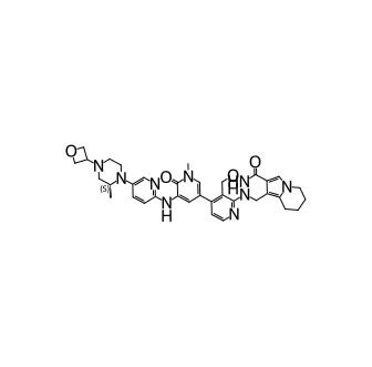 C[C@H]1CN(C2COC2)CCN1c1ccc(Nc2cc(-c3ccnc(N4Cc5c(cn6c5CCCC6)C(=O)N4)c3CO)cn(C)c2=O)nc1